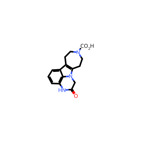 O=C1Cn2c3c(c4cccc(c42)N1)CCN(C(=O)O)CC3